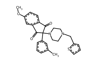 COc1ccc2c(c1)C(=O)C(c1cccc(C)c1)(N1CCN(Cc3cccs3)CC1)C2=O